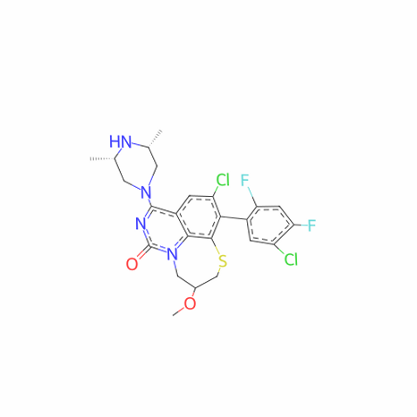 COC1CSc2c(-c3cc(Cl)c(F)cc3F)c(Cl)cc3c(N4C[C@@H](C)N[C@@H](C)C4)nc(=O)n(c23)C1